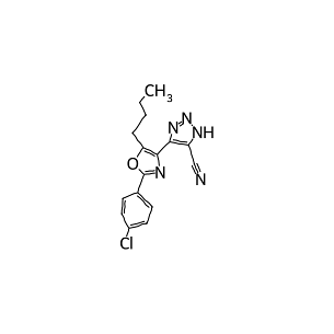 CCCCc1oc(-c2ccc(Cl)cc2)nc1-c1nn[nH]c1C#N